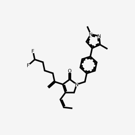 C=C(CCCC(F)F)C1=C(/C=C\C)CN(Cc2ccc(-c3cn(C)nc3C)cc2)C1=O